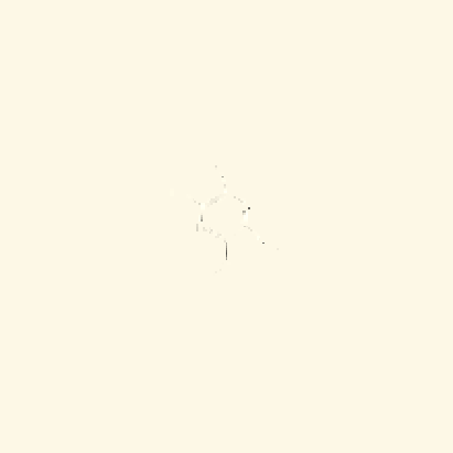 COc1nc(Br)c(Cl)nc1N